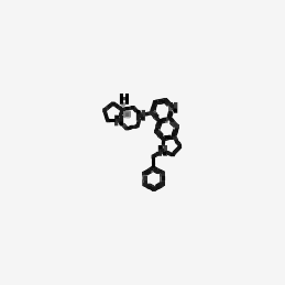 c1ccc(CN2CCc3cc4nccc(N5CCN6CCC[C@H]6C5)c4cc32)cc1